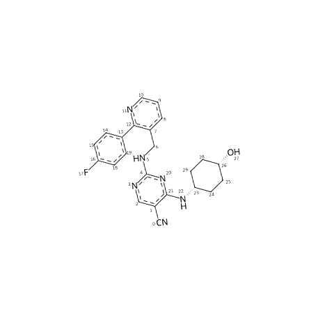 N#Cc1cnc(NCc2cccnc2-c2ccc(F)cc2)nc1N[C@H]1CC[C@@H](O)CC1